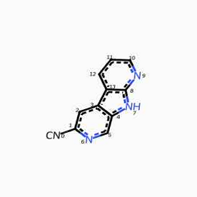 [C-]#[N+]c1cc2c(cn1)[nH]c1ncccc12